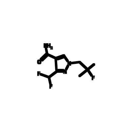 CC(C)(F)Cn1cc(C(N)=O)c(C(F)F)n1